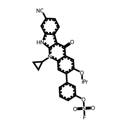 CC(C)Oc1cc2c(=O)c3c4ccc(C#N)cc4[nH]c3n(C3CC3)c2cc1-c1cccc(OS(=O)(=O)F)c1